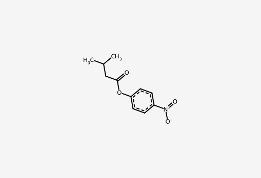 CC(C)CC(=O)Oc1ccc([N+](=O)[O-])cc1